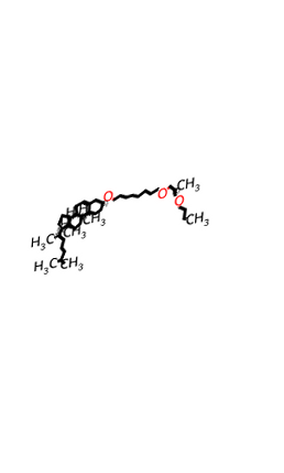 CCCCOC[C@@H](C)COCCCCCCCCO[C@H]1CC[C@@]2(C)C(=CC[C@H]3[C@@H]4CC[C@H]([C@H](C)CCCC(C)C)[C@@]4(C)CC[C@@H]32)C1